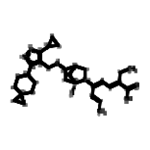 C/C=C/C(=C\C=C(/CC)C(=O)O)N1CC2C[C@@H]1CC2OCc1c(C2CCC3(CC2)CC3)noc1C1CC1